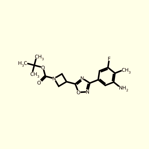 Cc1c(N)cc(-c2noc(C3CN(C(=O)OC(C)(C)C)C3)n2)cc1F